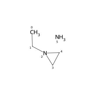 CCN1CC1.N